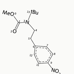 COC(=O)N(CCc1ccc([N+](=O)[O-])cc1)C(C)(C)C